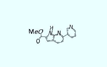 COC(=O)c1cc2ccc(-c3cccnc3)nc2[nH]1